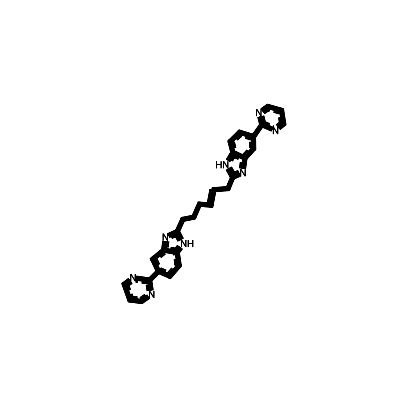 C(=CCc1nc2cc(-c3ncccn3)ccc2[nH]1)CCCc1nc2cc(-c3ncccn3)ccc2[nH]1